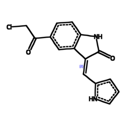 O=C1Nc2ccc(C(=O)CCl)cc2/C1=C/c1ccc[nH]1